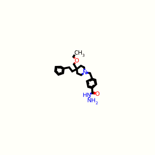 CCOCC1(CCc2ccccc2)CCN(Cc2ccc(C(=O)NN)cc2)CC1